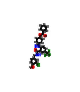 COc1ccc(CNC(=O)c2cc(C(F)(F)F)ccc2NC2CCC(OC(=O)c3ccccc3)CC2)cc1Cl